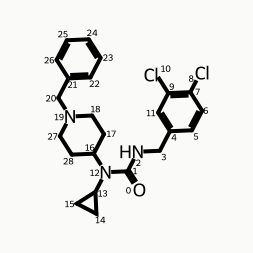 O=C(NCc1ccc(Cl)c(Cl)c1)N(C1CC1)C1CCN(Cc2ccccc2)CC1